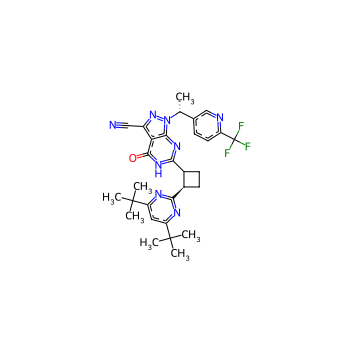 C[C@H](c1ccc(C(F)(F)F)nc1)n1nc(C#N)c2c(=O)[nH]c(C3CC[C@H]3c3nc(C(C)(C)C)cc(C(C)(C)C)n3)nc21